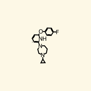 Fc1ccc(OC2C=C[C]=C(N3CCCN(C4CC4)CC3)N2)cc1